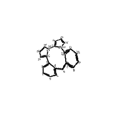 c1ccc2c(c1)Cc1ccccc1-n1cccc1-n1cccc1-2